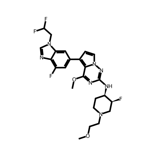 COCCN1CC[C@@H](Nc2nc(OC)c3c(-c4cc(F)c5ncn(CC(F)F)c5c4)ccn3n2)[C@@H](F)C1